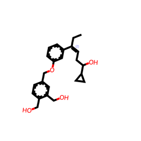 CC/C(=C/CC(O)C1CC1)c1cccc(OCc2ccc(CO)c(CO)c2)c1